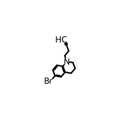 C#CCCN1CCCc2cc(Br)ccc21